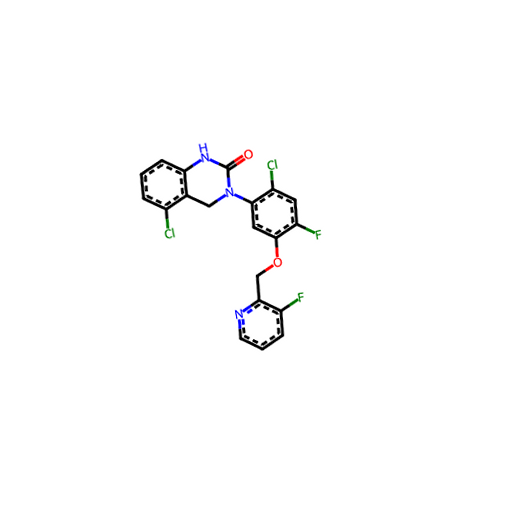 O=C1Nc2cccc(Cl)c2CN1c1cc(OCc2ncccc2F)c(F)cc1Cl